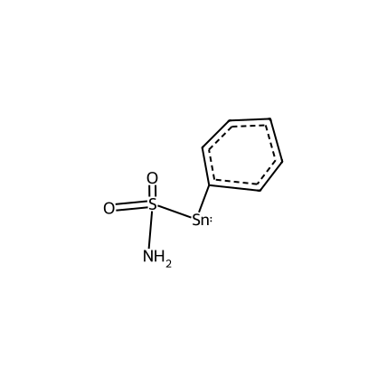 N[S](=O)(=O)[Sn][c]1ccccc1